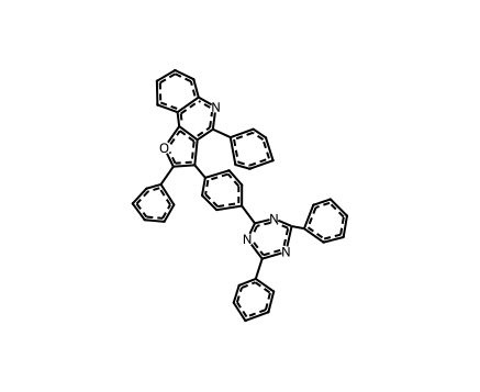 c1ccc(-c2nc(-c3ccccc3)nc(-c3ccc(-c4c(-c5ccccc5)oc5c4c(-c4ccccc4)nc4ccccc45)cc3)n2)cc1